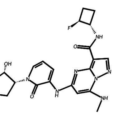 CNc1cc(Nc2cccn([C@@H]3CCC[C@@H]3O)c2=O)nc2c(C(=O)N[C@H]3CC[C@@H]3F)cnn12